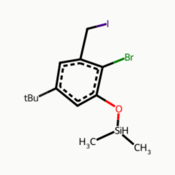 C[SiH](C)Oc1cc(C(C)(C)C)cc(CI)c1Br